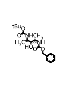 C[C@H](NC(=O)OCc1ccccc1)[C@@H](O)[C@@H](C)NC(=O)OC(C)(C)C